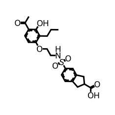 CCCc1c(OCCNS(=O)(=O)c2ccc3c(c2)CC(C(=O)O)C3)ccc(C(C)=O)c1O